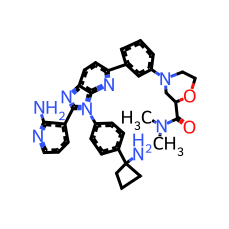 CN(C)C(=O)C1CN(c2cccc(-c3ccc4nc(-c5cccnc5N)n(-c5ccc(C6(N)CCC6)cc5)c4n3)c2)CCO1